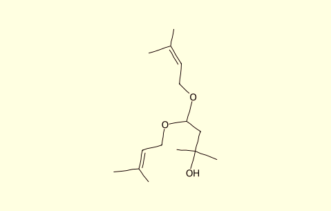 CC(C)=CCOC(CC(C)(C)O)OCC=C(C)C